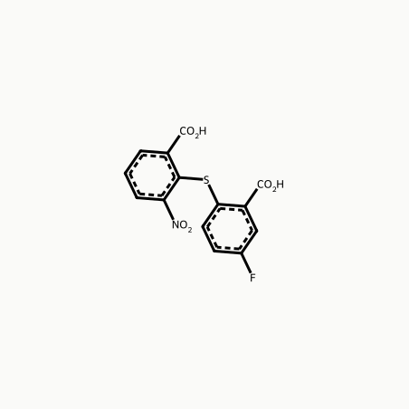 O=C(O)c1cc(F)ccc1Sc1c(C(=O)O)cccc1[N+](=O)[O-]